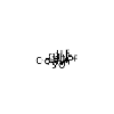 O=C(Nc1csc(-c2ccc(Cl)cc2)c1C(=O)O)c1nc2c(F)cc(F)cc2o1